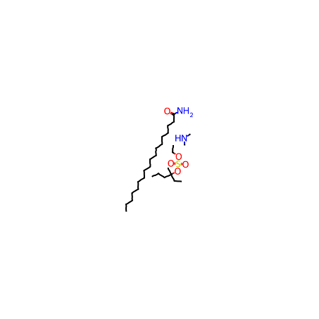 CCCC(C)(CC)OS(=O)(=O)OCC.CCCCCCCCCCCCCCCCCC(N)=O.CNC